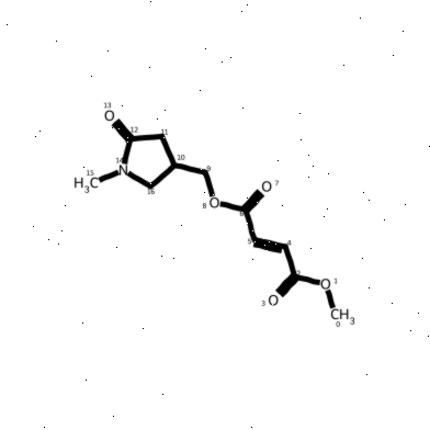 COC(=O)/C=C/C(=O)OCC1CC(=O)N(C)C1